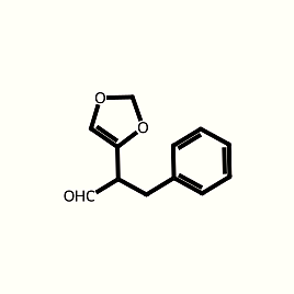 O=CC(Cc1ccccc1)C1=COCO1